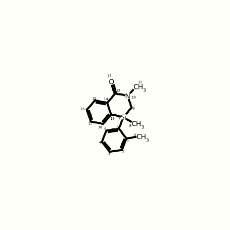 Cc1ccccc1[Si]1(C)CN(C)C(=O)c2ccccc21